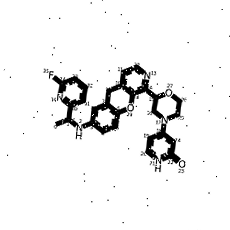 CC(Nc1ccc2c(c1)Cc1ccnc(C3CN(c4cc[nH]c(=O)c4)CCO3)c1O2)c1cccc(F)n1